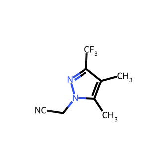 Cc1c(C(F)(F)F)nn(CC#N)c1C